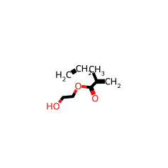 C=C.C=C(C)C(=O)OCCO